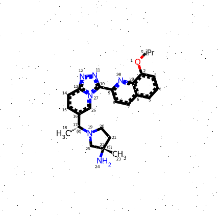 CC(C)Oc1cccc2ccc(-c3nnc4ccc([C@@H](C)N5CC[C@](C)(N)C5)cn34)nc12